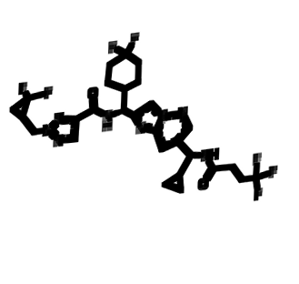 O=C(CCC(F)(F)F)NC(c1cnn2cc([C@@H](NC(=O)c3cnn(CC4CC4(F)F)n3)C3CCC(F)(F)CC3)nc2c1)C1CC1